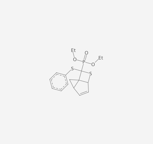 CCOP(=O)(OCC)C1(Sc2ccccc2)SC2C=CC3CC321